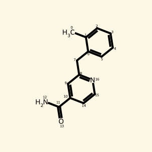 Cc1ccccc1Cc1cc(C(N)=O)ccn1